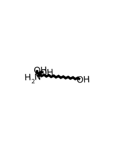 NC(CO)(CO)CCCCCCCCCCCCCCCCO